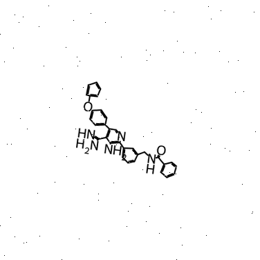 N=C(N)c1c(-c2ccc(Oc3ccccc3)cc2)cnc(-c2cccc(CNC(=O)c3ccccc3)c2)c1N